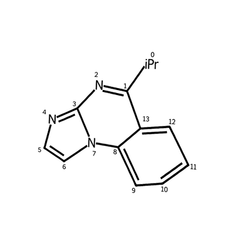 CC(C)c1nc2nccn2c2ccccc12